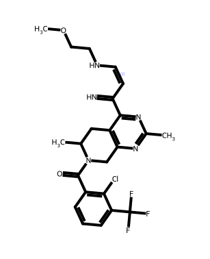 COCCN/C=C\C(=N)c1nc(C)nc2c1CC(C)N(C(=O)c1cccc(C(F)(F)F)c1Cl)C2